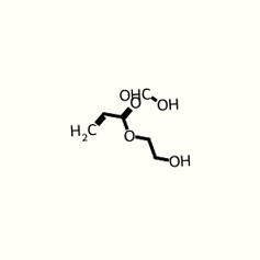 C=CC(=O)OCCO.O=[C]O